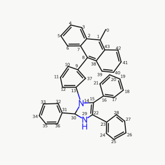 Cc1c2ccccc2c(-c2cccc(N3C(c4ccccc4)=C(c4ccccc4)NC3c3ccccc3)c2)c2ccccc12